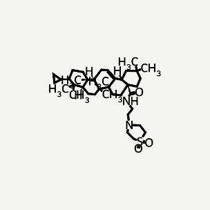 CC1(C)CC[C@]2(C(=O)NCCN3CCS(=O)(=O)CC3)CC[C@]3(C)C(=CC[C@@H]4[C@@]5(C)CC[C@H](C6CC6)C(C)(C)[C@@H]5CC[C@]43C)[C@@H]2C1